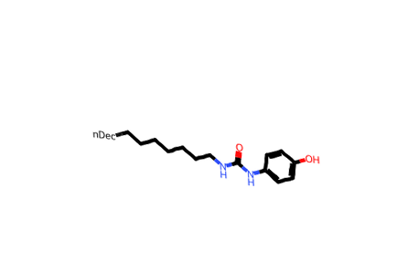 CCCCCCCCCCCCCCCCCNC(=O)Nc1ccc(O)cc1